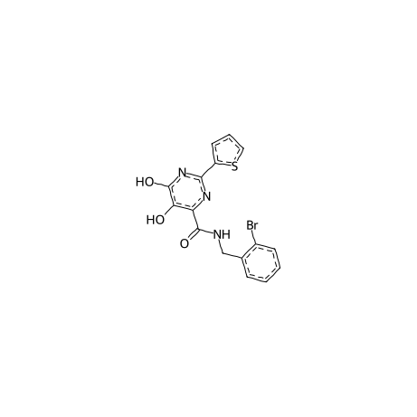 O=C(NCc1ccccc1Br)c1nc(-c2cccs2)nc(O)c1O